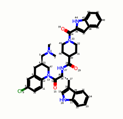 CN(C)C[C@@H]1Cc2cc(Cl)ccc2N(C(=O)[C@@H](Cc2c[nH]c3ccccc23)NC(=O)C2CCN(C(=O)c3cc4ccccc4[nH]3)CC2)C1